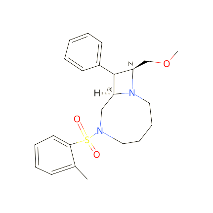 COC[C@@H]1C(c2ccccc2)[C@@H]2CN(S(=O)(=O)c3ccccc3C)CCCCN12